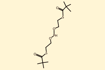 CC(C)(C)C(=O)SCCOPOCCSC(=O)C(C)(C)C